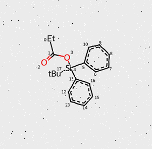 [CH2]CC(=O)O[Si](c1ccccc1)(c1ccccc1)C(C)(C)C